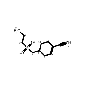 C#CC1=CCC(CS(=O)(=O)CCC(F)(F)F)CC1